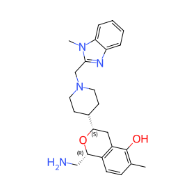 Cc1ccc2c(c1O)C[C@@H](C1CCN(Cc3nc4ccccc4n3C)CC1)O[C@H]2CN